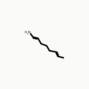 CC=CCCCC=CN